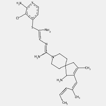 C/C=C\C(C)=C/C1=C(C)CC2(CCN(/C(N)=N/C=C(\N)Sc3ccnc(N)c3Cl)CC2)C1N